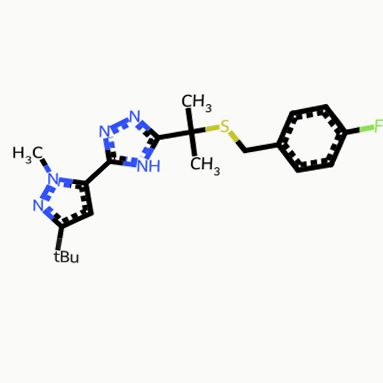 Cn1nc(C(C)(C)C)cc1-c1nnc(C(C)(C)SCc2ccc(F)cc2)[nH]1